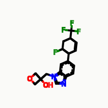 OC1(Cn2cnc3ccc(C4C=CC(C(F)(F)F)CC4F)cc32)COC1